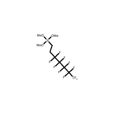 CO[Si](CCC(F)(F)C(F)(F)C(F)(F)C(F)(F)C(F)(F)F)(OC)OC